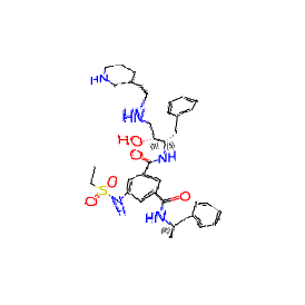 CCS(=O)(=O)Nc1cc(C(=O)N[C@@H](Cc2ccccc2)[C@H](O)CNCC2CCCNC2)cc(C(=O)N[C@H](C)c2ccccc2)c1